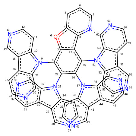 c1cnc2c(c1)oc1c(-n3c4ccncc4c4ccncc43)c(-n3c4ccncc4c4ccncc43)c(-n3c4ccncc4c4ccncc43)c(-n3c4ccncc4c4ccncc43)c12